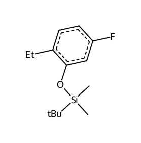 CCc1ccc(F)cc1O[Si](C)(C)C(C)(C)C